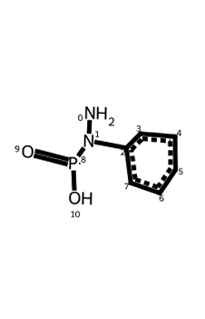 NN(c1ccccc1)[P](=O)O